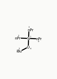 CCC[Si](CCC)(CCC)OC(C)CC